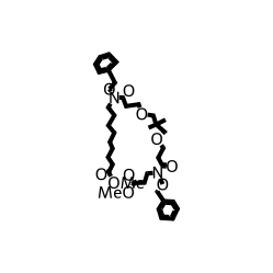 COC(=O)CCCCCCCCN(OCc1ccccc1)C(=O)CCOCC(C)(C)COCCC(=O)N(CCC(=O)OC)OCc1ccccc1